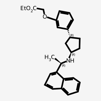 CCOC(=O)COc1cccc([C@@H]2CC[C@@H](N[C@H](C)c3cccc4ccccc34)C2)c1